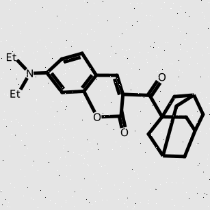 CCN(CC)c1ccc2cc(C(=O)C34CC5CC(CC(C5)C3)C4)c(=O)oc2c1